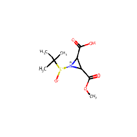 COC(=O)C1C(C(=O)O)[N@]1[S+]([O-])C(C)(C)C